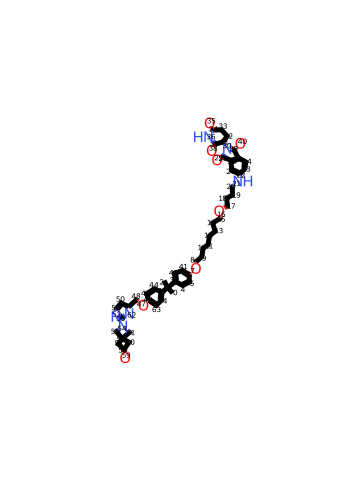 CC(C)(c1ccc(OCCCCCCCCOCCCCNc2ccc3c(c2)C(=O)N(C2CCC(=O)NC2=O)C3=O)cc1)c1ccc(OCc2ccnc(N3CC4(CC(=O)C4)C3)n2)cc1